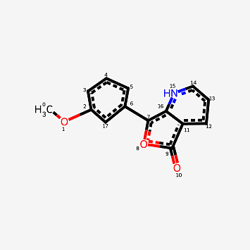 COc1cccc(-c2oc(=O)c3ccc[nH]c2-3)c1